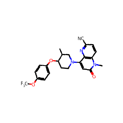 CC1CN(c2cc(=O)n(C)c3ccc(C#N)nc23)CCC1Oc1ccc(OC(F)(F)F)cc1